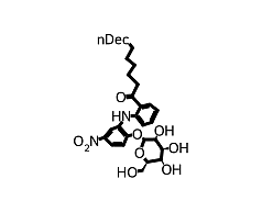 CCCCCCCCCCCCCCCC(=O)c1ccccc1Nc1cc([N+](=O)[O-])ccc1O[C@@H]1O[C@H](CO)[C@@H](O)[C@H](O)[C@H]1O